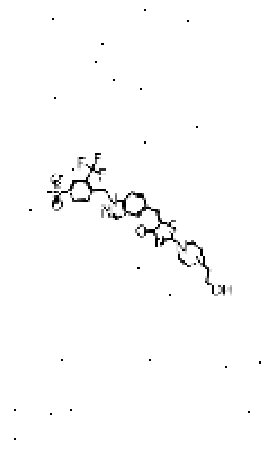 CS(=O)(=O)c1ccc(Cn2ncc3cc(C=C4SC(N5CCN(CCO)CC5)=NC4=O)ccc32)c(C(F)(F)F)c1